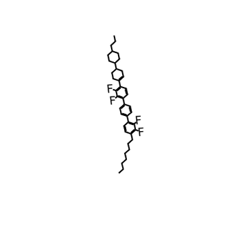 CCCCCCCCc1ccc(-c2ccc(-c3ccc(C4=CCC(C5CCC(CCC)CC5)CC4)c(F)c3F)cc2)c(F)c1F